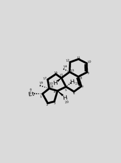 CC[C@H]1CC[C@H]2[C@@H]3CC=C4C=CCC[C@]4(C)[C@H]3CC[C@]12C